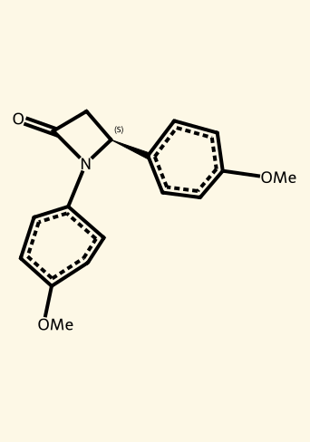 COc1ccc([C@@H]2CC(=O)N2c2ccc(OC)cc2)cc1